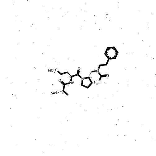 CN[C@@H](C)C(=O)N[C@@H](CCC(=O)O)C(=O)N1CCC[C@H]1CN(CCc1ccccc1)C(=O)C(F)(F)F